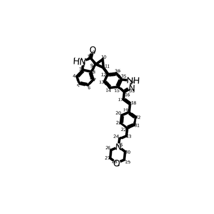 O=C1Nc2ccccc2C12CC2c1ccc2c(C=Cc3ccc(CCN4CCOCC4)cc3)n[nH]c2c1